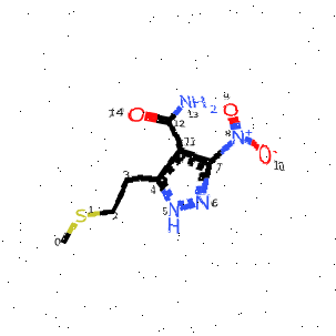 CSCCc1[nH]nc([N+](=O)[O-])c1C(N)=O